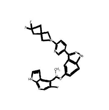 C[C@H](Oc1ccc2[nH]nc(-c3ccc(N4CC5(C4)CC(F)(F)C5)nc3)c2c1)c1c(F)cnc2[nH]ccc12